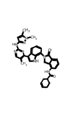 Cc1cnc(Nc2cc(C)n(C)n2)nc1-c1c[nH]c2c(N3Cc4c(NC(=O)C5CC=CCC5)cccc4C3=O)cccc12